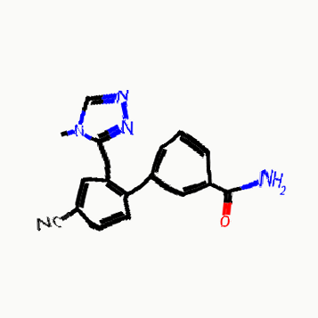 Cn1cnnc1-c1cc(C#N)ccc1-c1cccc(C(N)=O)c1